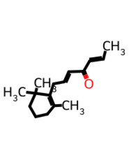 CC=CC(=O)C=CCC1=C(C)CCCC1(C)C